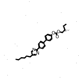 CCCCCCc1cnc(-c2ccc(-c3ccc(OC(=O)OC[C@@H](C)CC)cc3)cc2)nc1